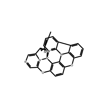 Cc1cc2n(n1)[N+]13c4c(ccc5c4-n4c6c(cccc6c6ccc[n+]1c64)O5)Oc1cncc-2[n+]13